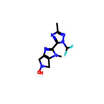 Cc1nc(-c2nc3c(n2C)CN(O)C3)n(C(F)F)n1